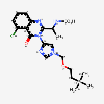 CC(NC(=O)O)c1nc2cccc(Cl)c2c(=O)n1-c1cn(COCC[Si](C)(C)C)cn1